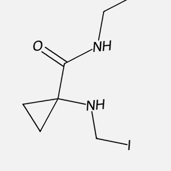 CCNC(=O)C1(NCI)CC1